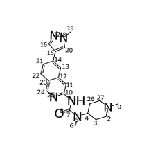 CN1CCC(N(C)C(=O)Nc2cc3cc(-c4cnn(C)c4)ccc3cn2)CC1